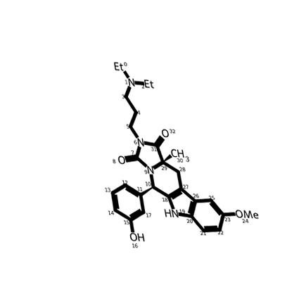 CCN(CC)CCCN1C(=O)N2[C@H](c3cccc(O)c3)c3[nH]c4ccc(OC)cc4c3C[C@@]2(C)C1=O